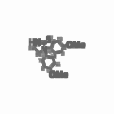 COc1ccc([N+]2(c3ccc(OC)cc3)CCNC2=S)cc1